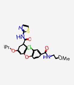 COCCNC(=O)c1ccc(OC2=CC(C(=O)Nc3nccs3)CC(OC(C)C)=C2)c(Cl)c1